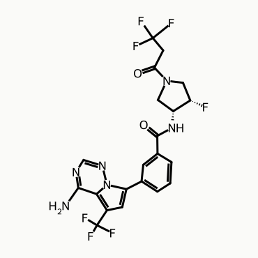 Nc1ncnn2c(-c3cccc(C(=O)N[C@@H]4CN(C(=O)CC(F)(F)F)C[C@@H]4F)c3)cc(C(F)(F)F)c12